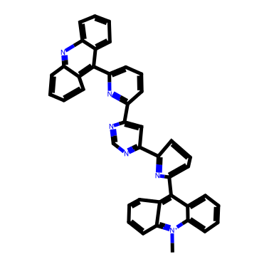 C[n+]1c2ccccc2c(-c2cccc(-c3cc(-c4cccc(-c5c6ccccc6nc6ccccc56)n4)ncn3)n2)c2ccccc21